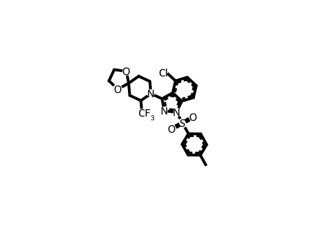 Cc1ccc(S(=O)(=O)n2nc(N3CCC4(CC3C(F)(F)F)OCCO4)c3c(Cl)cccc32)cc1